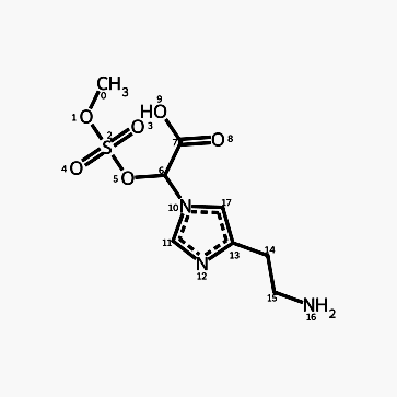 COS(=O)(=O)OC(C(=O)O)n1cnc(CCN)c1